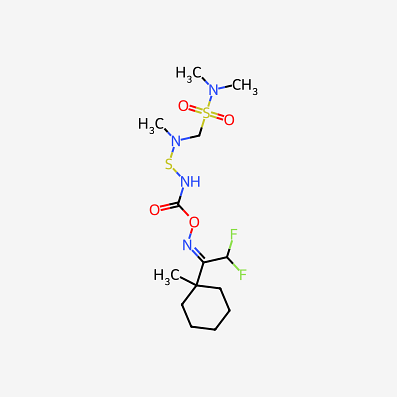 CN(CS(=O)(=O)N(C)C)SNC(=O)ON=C(C(F)F)C1(C)CCCCC1